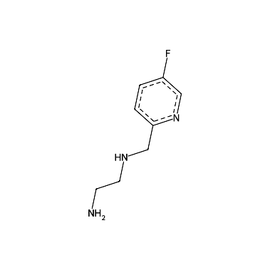 NCCNCc1ccc(F)cn1